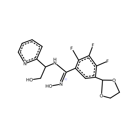 OCC(N/C(=N\O)c1cc(C2OCCO2)c(F)c(F)c1F)c1ccccn1